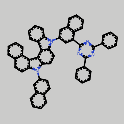 c1ccc(-c2nc(-c3ccccc3)nc(-c3cc(-n4c5ccccc5c5c6c7c8ccccc8ccc7n(-c7ccc8ccccc8c7)c6ccc54)cc4ccccc34)n2)cc1